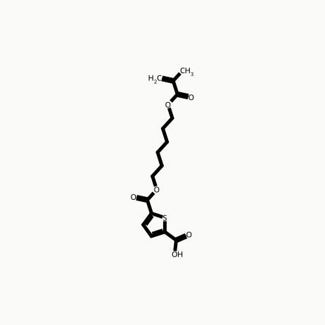 C=C(C)C(=O)OCCCCCCOC(=O)c1ccc(C(=O)O)s1